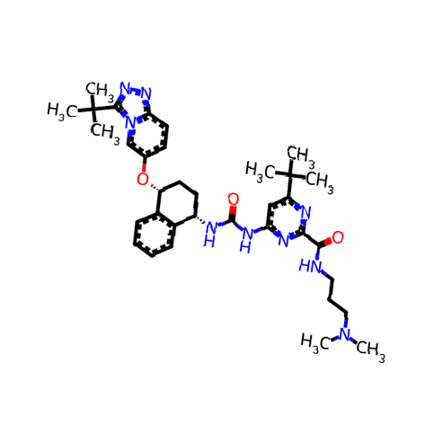 CN(C)CCCNC(=O)c1nc(NC(=O)N[C@H]2CC[C@@H](Oc3ccc4nnc(C(C)(C)C)n4c3)c3ccccc32)cc(C(C)(C)C)n1